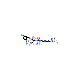 CN(C)CCCCCCNC(=O)Nc1snc(OCc2cc(Cl)ccc2Cl)c1C(N)=O